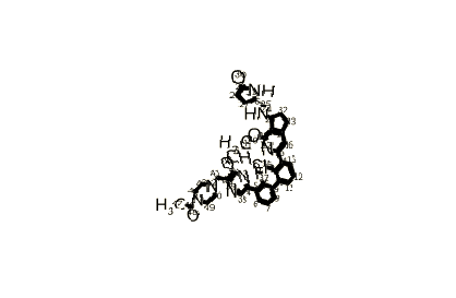 COc1nc(-c2cccc(-c3cccc(-c4cc5c(c(OC)n4)[C@@H](NC[C@@H]4CCC(=O)N4)CC5)c3Cl)c2F)cnc1CN1CCN(C(C)=O)CC1